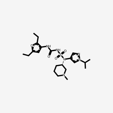 CCc1cc(NC(=O)NS(=O)(=O)N(c2cnn(C(C)C)c2)[C@H]2CCCN(C)C2)c(CC)o1